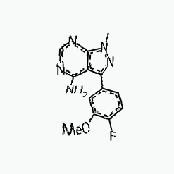 COc1cc(-c2nn(C)c3ncnc(N)c23)ccc1F